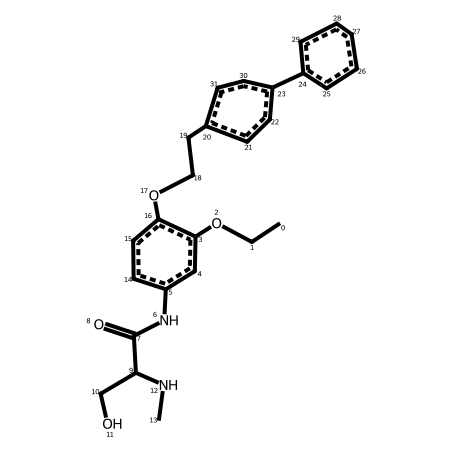 CCOc1cc(NC(=O)C(CO)NC)ccc1OCCc1ccc(-c2ccccc2)cc1